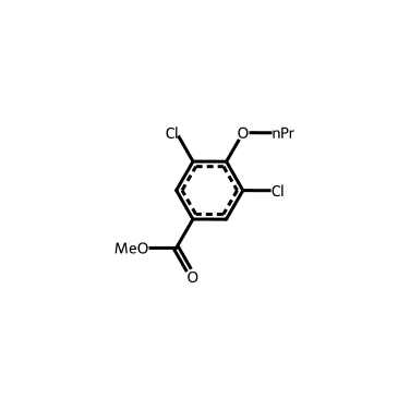 CCCOc1c(Cl)cc(C(=O)OC)cc1Cl